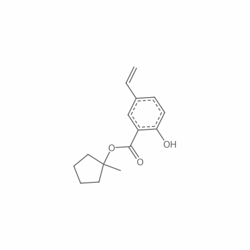 C=Cc1ccc(O)c(C(=O)OC2(C)CCCC2)c1